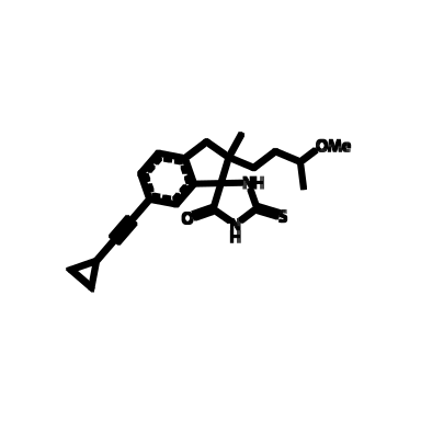 COC(C)CCC1(C)Cc2ccc(C#CC3CC3)cc2C12NC(=S)NC2=O